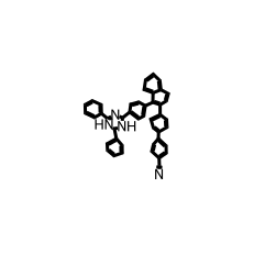 N#Cc1ccc(-c2ccc(-c3ccc4ccccc4c3-c3ccc(C4N=C(c5ccccc5)NC(c5ccccc5)N4)cc3)cc2)cc1